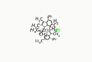 CC1=C(C)[CH]([Zr+2]([CH]2C(C)=C(C)c3c(C(C)C)cc(C)cc32)=[Si](C)C)c2cc(C)cc(C(C)C)c21.[Cl-].[Cl-]